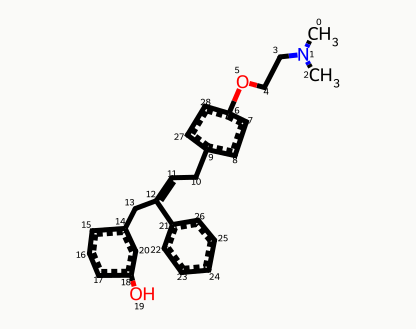 CN(C)CCOc1ccc(C/C=C(/Cc2cccc(O)c2)c2ccccc2)cc1